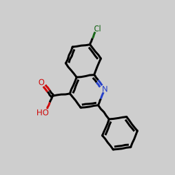 O=C(O)c1cc(-c2ccccc2)nc2cc(Cl)ccc12